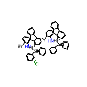 CC(C)c1ccccc1[NH][Hf+]([c]1cccc2c1Cc1ccccc1-2)[SiH](c1ccccc1)c1ccccc1.CC(C)c1ccccc1[NH][Hf+]([c]1cccc2c1Cc1ccccc1-2)[SiH](c1ccccc1)c1ccccc1.[Cl-].[Cl-]